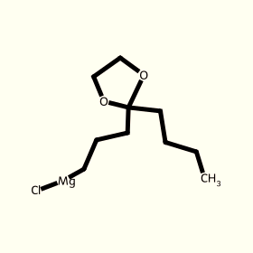 CCCCC1(CC[CH2][Mg][Cl])OCCO1